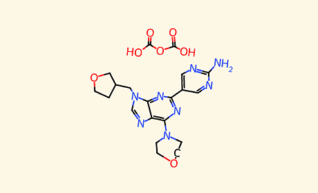 Nc1ncc(-c2nc(N3CCOCC3)c3ncn(CC4CCOC4)c3n2)cn1.O=C(O)OC(=O)O